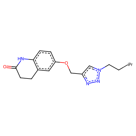 CC(C)CCn1cc(COc2ccc3c(c2)CCC(=O)N3)nn1